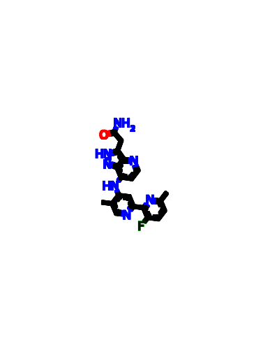 Cc1ccc(F)c(-c2cc(Nc3ccnc4c(CC(N)=O)[nH]nc34)c(C)cn2)n1